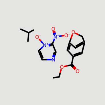 CC(C)C.CCOC(=O)c1cc2cc(c1)OC2.O=[N+]([O-])c1cncc[n+]1[O-]